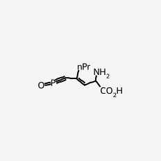 CCC/C(C#P=O)=C\C(N)C(=O)O